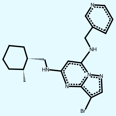 C[C@@H]1CCCC[C@@H]1CNc1cc(NCc2cccnc2)n2ncc(Br)c2n1